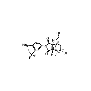 C[C@]12O[C@](CCO)(C[C@@H]1O)[C@H]1C(=O)N(c3ccc(C#N)c(C(F)(F)F)c3)C(=O)[C@H]12